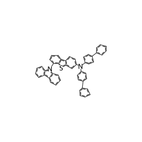 c1ccc(-c2ccc(N(c3ccc(-c4ccccc4)cc3)c3ccc4c(c3)sc3c(-n5c6ccccc6c6ccccc65)cccc34)cc2)cc1